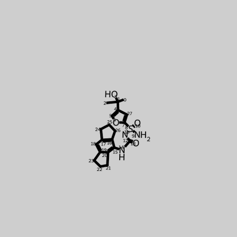 CC(C)(O)c1coc(S(N)(=O)=NC(=O)Nc2c3c(cc4c2CCC4)CCC3)c1